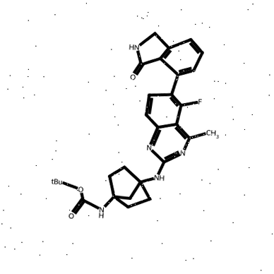 Cc1nc(NC23CCC(NC(=O)OC(C)(C)C)(CC2)C3)nc2ccc(-c3cccc4c3C(=O)NC4)c(F)c12